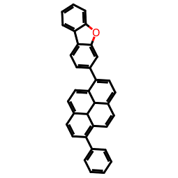 C1=CC2=C(c3ccccc3)C=CC3=CC=C4C(c5ccc6c(c5)oc5ccccc56)=CC=C1C4C32